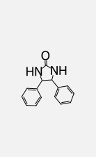 O=C1NC(c2ccccc2)C(c2ccccc2)N1